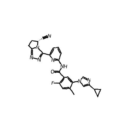 Cc1cc(F)c(C(=O)Nc2cccc(-c3nnc4n3[C@@H](C#N)CC4)n2)cc1-n1cnc(C2CC2)c1